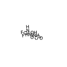 O=C1CCc2c(NC(=O)C(O)Nc3c[nH]c4cc(F)c(F)cc34)cccc21